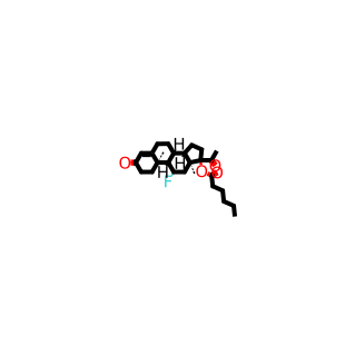 CCCCCC(=O)O[C@]1(C(C)=O)CC[C@H]2[C@@H]3CCC4=CC(=O)CC[C@]4(C)[C@H]3[C@@H](F)C[C@@]21C